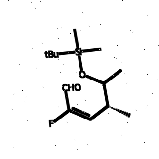 CC(O[Si](C)(C)C(C)(C)C)[C@H](C)/C=C(/F)C=O